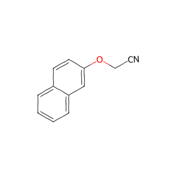 N#CCOc1ccc2ccccc2c1